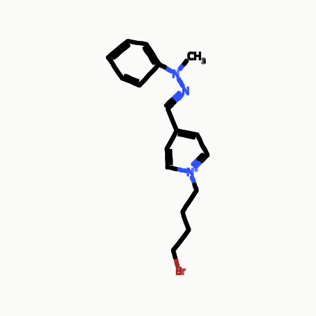 CN(/N=C/c1cc[n+](CCCCBr)cc1)c1ccccc1